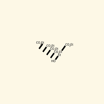 CCO.CCOC(C)=O.CCOC(C)=O.CCOC(C)=O.CCOC(C)=O.CCOC(C)=O